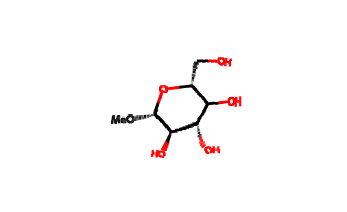 CO[C@@H]1O[C@H](CO)C(O)[C@H](O)[C@H]1O